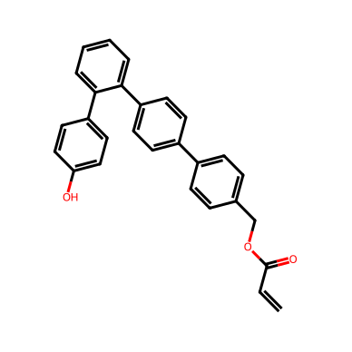 C=CC(=O)OCc1ccc(-c2ccc(-c3ccccc3-c3ccc(O)cc3)cc2)cc1